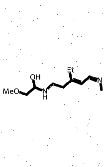 CC/C(=C\C=N/C)CCNC(O)COC